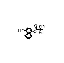 CCCC(C)(CC)C(=O)Oc1ccc(O)c2ccccc12